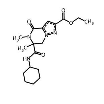 CCOC(=O)c1cc2n(n1)CC(C)(C(=O)NC1CCCCC1)N(C)C2=O